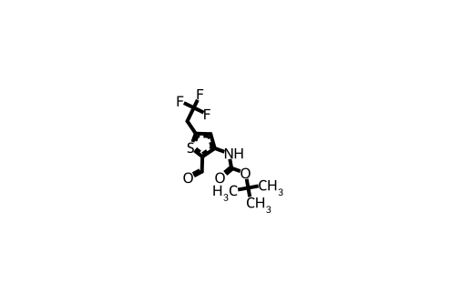 CC(C)(C)OC(=O)Nc1cc(CC(F)(F)F)sc1C=O